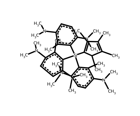 CC1=C(C)C(C)C([Si](c2c(N(C)C)ccc(N(C)C)c2C)(c2c(N(C)C)ccc(N(C)C)c2C)c2c(N(C)C)ccc(N(C)C)c2C)=C1C